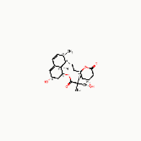 CCCCC(C)(C)C(=O)O[C@H]1C[C@H](O)C=C2C=C[C@H](C)[C@H](CC[C@@H]3C[C@@H](O)CC(=O)O3)[C@H]21